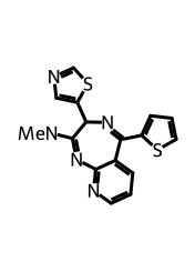 CNC1=Nc2ncccc2C(c2cccs2)=NC1c1cncs1